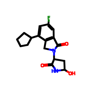 O=C1NC(O)CC1N1Cc2c(cc(F)cc2C2CCCC2)C1=O